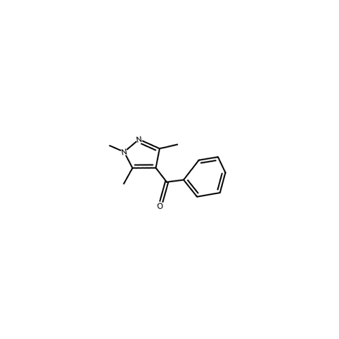 Cc1nn(C)c(C)c1C(=O)c1ccccc1